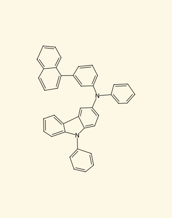 c1ccc(N(c2cccc(-c3cccc4ccccc34)c2)c2ccc3c(c2)c2ccccc2n3-c2ccccc2)cc1